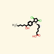 CCCCCC(O)c1ccc(C2C(Cl)CC(Cl)[C@@H]2C/C=C\CCCC(=O)O)cc1